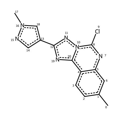 Cc1ccc2c(c1)nc(Cl)n1nc(-c3cnn(C)c3)nc21